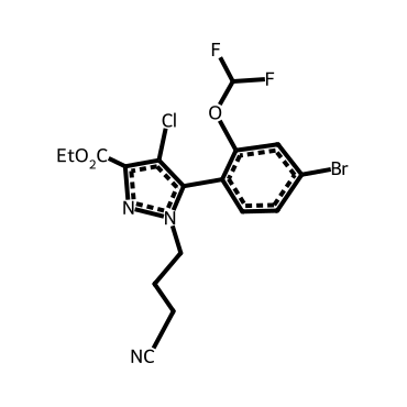 CCOC(=O)c1nn(CCCC#N)c(-c2ccc(Br)cc2OC(F)F)c1Cl